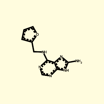 Nc1nc2c(NCc3ccco3)ncnc2[nH]1